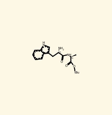 C[C@H](NC(=O)[C@@H](N)Cc1c[nH]c2ccccc12)C(=O)OC(C)(C)C